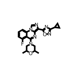 CC1CN(c2nc3c(-c4nc(C5CC5)no4)ncn3c3cccc(F)c23)CC(C)O1